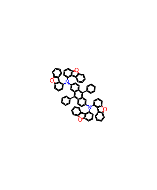 c1ccc(-c2c3ccc(N(c4cccc5oc6ccccc6c45)c4cccc5oc6ccccc6c45)cc3c(-c3ccccc3)c3ccc(N(c4cccc5oc6ccccc6c45)c4cccc5oc6ccccc6c45)cc23)cc1